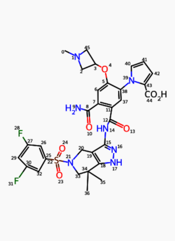 CN1CC(Oc2cc(C(N)=O)c(C(=O)Nc3n[nH]c4c3CN(S(=O)(=O)c3cc(F)cc(F)c3)CC4(C)C)cc2-n2cccc2C(=O)O)C1